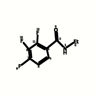 CCNC(=O)c1ccc(F)c(F)c1F